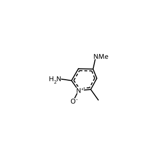 CNc1cc(C)[n+]([O-])c(N)c1